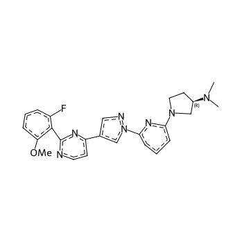 COc1cccc(F)c1-c1nccc(-c2cnn(-c3cccc(N4CC[C@@H](N(C)C)C4)n3)c2)n1